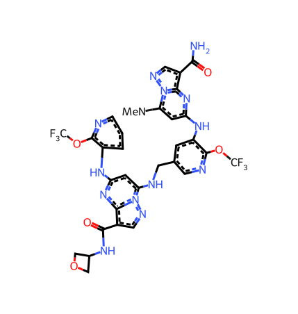 CNc1cc(Nc2cc(CNc3cc(Nc4cccnc4OC(F)(F)F)nc4c(C(=O)NC5COC5)cnn34)cnc2OC(F)(F)F)nc2c(C(N)=O)cnn12